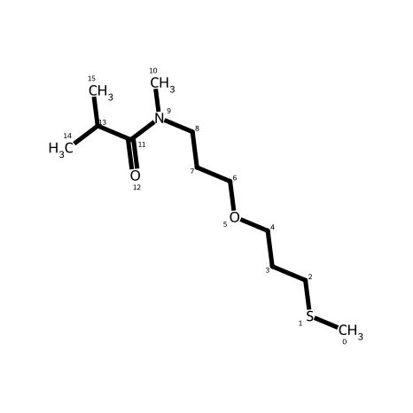 CSCCCOCCCN(C)C(=O)C(C)C